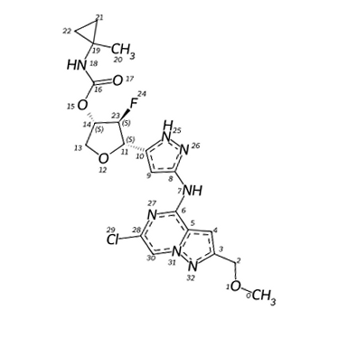 COCc1cc2c(Nc3cc([C@@H]4OC[C@H](OC(=O)NC5(C)CC5)[C@H]4F)[nH]n3)nc(Cl)cn2n1